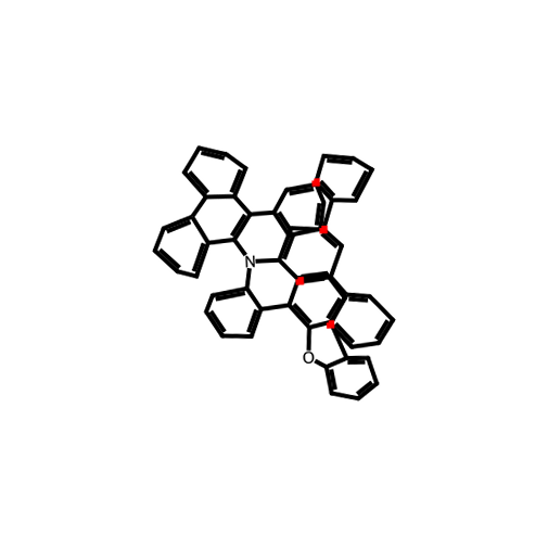 c1ccc(-c2cc(-c3ccccc3)cc(N(c3ccccc3-c3cccc4c3oc3ccccc34)c3c(-c4ccccc4)c4ccccc4c4ccccc34)c2)cc1